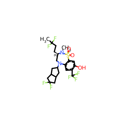 CN1[C@H](CCC(C)(F)F)CN(C2CC3CC(F)(F)CC3C2)c2cc(C(F)(F)F)c(O)cc2S1(=O)=O